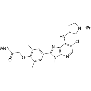 CNC(=O)COc1c(C)cc(-c2nc3c(NC4CCN(C(C)C)C4)c(Cl)cnc3[nH]2)cc1C